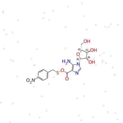 Nc1c(C(=O)OSCc2ccc([N+](=O)[O-])cc2)ncn1[C@@H]1O[C@H](CO)[C@@H](O)[C@H]1O